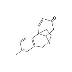 Cc1ccc2c(c1)CN1CCC23C=CC(=O)CC13